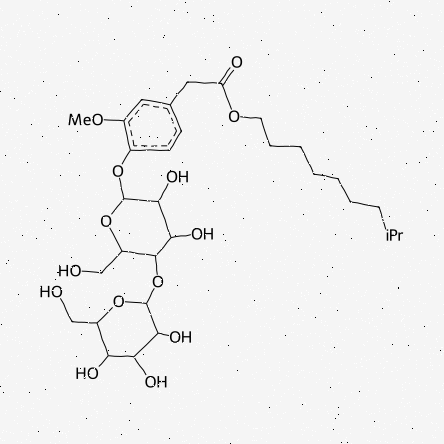 COc1cc(CC(=O)OCCCCCCCC(C)C)ccc1OC1OC(CO)C(OC2OC(CO)C(O)C(O)C2O)C(O)C1O